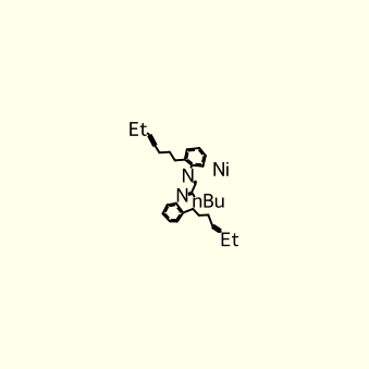 CCC#CCCCc1ccccc1N=CC(CCCC)=Nc1ccccc1CCCC#CCC.[Ni]